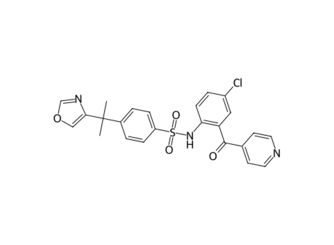 CC(C)(c1ccc(S(=O)(=O)Nc2ccc(Cl)cc2C(=O)c2ccncc2)cc1)c1cocn1